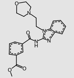 COC(=O)c1cccc(C(=O)Nc2nc3ccccc3n2CCN2CCOCC2)c1